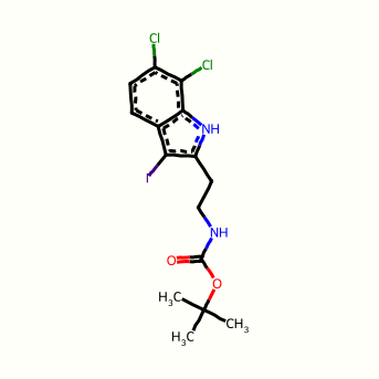 CC(C)(C)OC(=O)NCCc1[nH]c2c(Cl)c(Cl)ccc2c1I